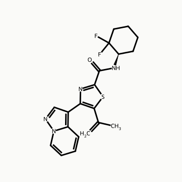 C=C(C)c1sc(C(=O)N[C@@H]2CCCCC2(F)F)nc1-c1cnn2ccccc12